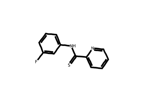 Fc1cccc(NC(=S)c2ccccn2)c1